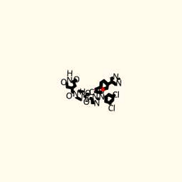 C[C@@]1(Cc2ccc(-c3cncnc3)cc2)C(=O)N(c2cc(Cl)cc(Cl)c2)c2ncc(S(=O)(=O)N3CCN(C(=O)C4CC(=O)NC(=O)C4)CC3)n21